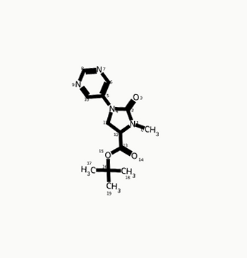 CN1C(=O)N(c2cncnc2)CC1C(=O)OC(C)(C)C